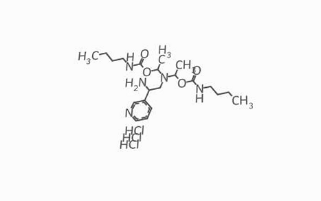 CCCCNC(=O)OC(C)N(CC(N)c1cccnc1)C(C)OC(=O)NCCCC.Cl.Cl.Cl